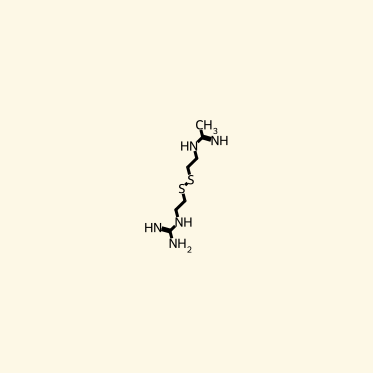 CC(=N)NCCSSCCNC(=N)N